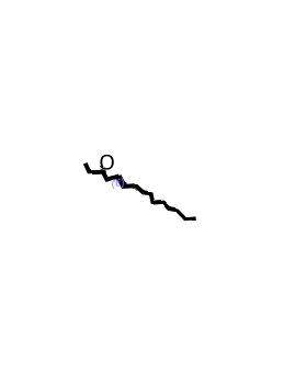 CCCCCCCCC/C=C/CC(=O)CC